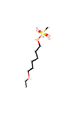 CCOCCCCCCOS(C)(=O)=O